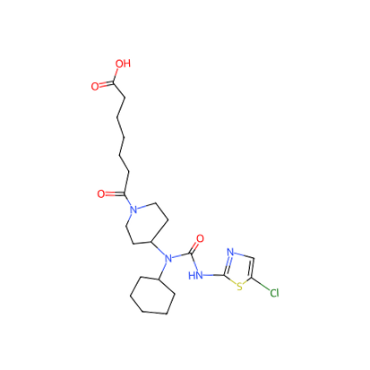 O=C(O)CCCCCC(=O)N1CCC(N(C(=O)Nc2ncc(Cl)s2)C2CCCCC2)CC1